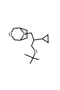 CC(C)(C)OCC(CN1C2CCC1COC2)C1CC1